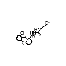 COCCCNC(=S)N/N=C/C1CCCCN1Cc1c(Cl)cccc1Cl